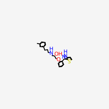 Cc1cccc(CCCNCC(O)COc2ccccc2-c2n[nH]c3ccsc23)c1